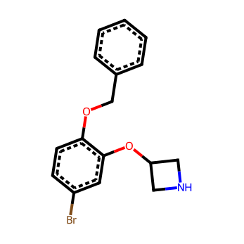 Brc1ccc(OCc2ccccc2)c(OC2CNC2)c1